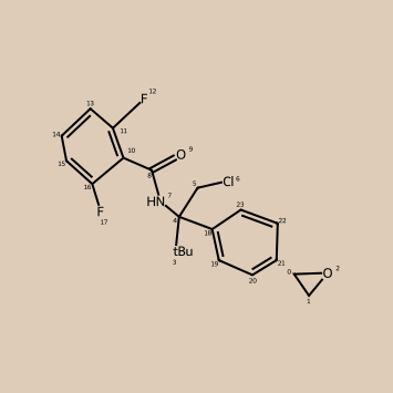 C1CO1.CC(C)(C)C(CCl)(NC(=O)c1c(F)cccc1F)c1ccccc1